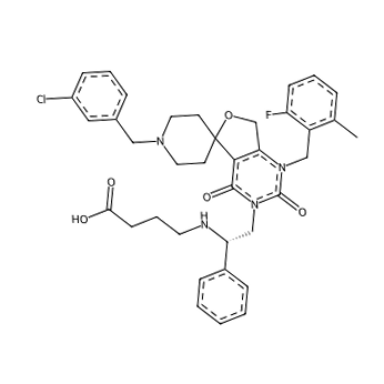 Cc1cccc(F)c1Cn1c2c(c(=O)n(C[C@@H](NCCCC(=O)O)c3ccccc3)c1=O)C1(CCN(Cc3cccc(Cl)c3)CC1)OC2